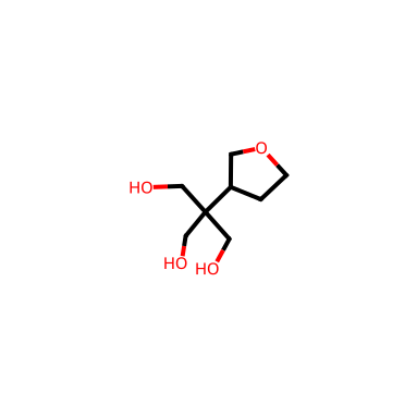 OCC(CO)(CO)C1CCOC1